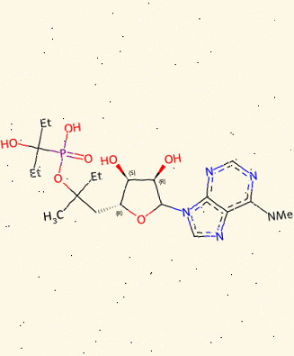 CCC(C)(C[C@H]1OC(n2cnc3c(NC)ncnc32)[C@H](O)[C@@H]1O)OP(=O)(O)C(O)(CC)CC